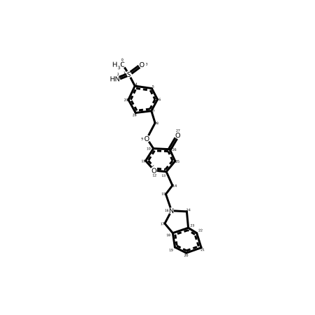 CS(=N)(=O)c1ccc(COc2coc(CCN3Cc4ccccc4C3)cc2=O)cc1